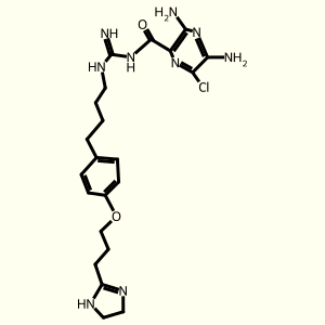 N=C(NCCCCc1ccc(OCCCC2=NCCN2)cc1)NC(=O)c1nc(Cl)c(N)nc1N